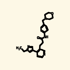 CCn1cc(-c2ccncc2CCC(=O)Nc2ccc(CN3CCOCC3)cc2)cn1